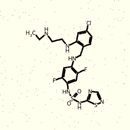 CCNCCNc1cc(Cl)ccc1CNc1cc(F)c(NS(=O)(=O)Nc2ncns2)cc1F